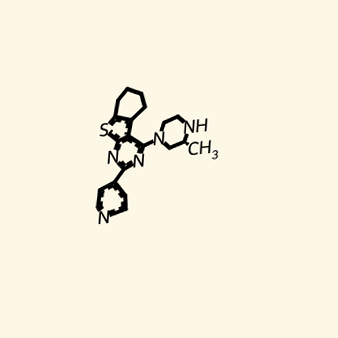 C[C@H]1CN(c2nc(-c3ccncc3)nc3sc4c(c23)CCCC4)CCN1